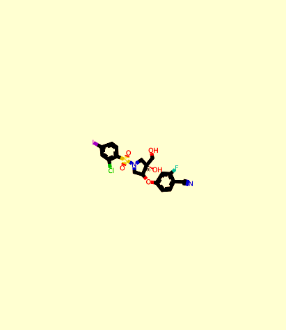 N#Cc1ccc(OC2CN(S(=O)(=O)c3ccc(I)cc3Cl)C[C@@]2(O)CO)cc1F